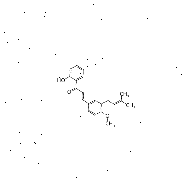 COc1ccc(C=CC(=O)c2ccccc2O)cc1CC=C(C)C